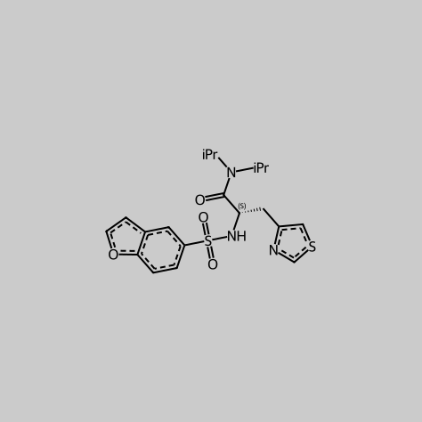 CC(C)N(C(=O)[C@H](Cc1cscn1)NS(=O)(=O)c1ccc2occc2c1)C(C)C